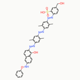 Cc1cc(N=Nc2ccc(CO)cc2S(=O)(=O)O)c(C)cc1N=Nc1cc(C)c(N=Nc2ccc3cc(NOc4ccccc4)ccc3c2O)cc1C